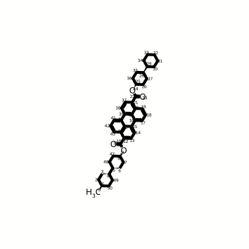 C[C@H]1CC[C@H]([C@H]2CC[C@H](OC(=O)c3ccc4c5cccc6c(C(=O)O[C@H]7CC[C@H](C8CCCCC8)CC7)ccc(c7cccc3c74)c65)CC2)CC1